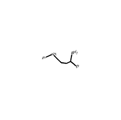 BC(CNC(C)C)C(C)C